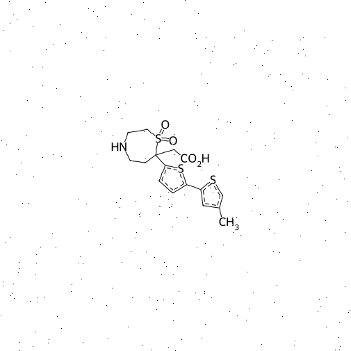 Cc1csc(-c2ccc(C3(CC(=O)O)CCNCCS3(=O)=O)s2)c1